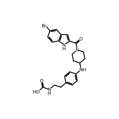 O=C(O)NCCc1ccc(NC2CCN(C(=O)c3cc4cc(Br)ccc4[nH]3)CC2)cc1